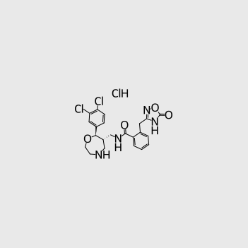 Cl.O=C(NC[C@@H]1CNCCO[C@H]1c1ccc(Cl)c(Cl)c1)c1ccccc1Cc1noc(=O)[nH]1